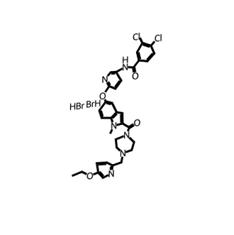 Br.Br.CCOc1ccc(CN2CCN(C(=O)c3cc4cc(Oc5ccc(NC(=O)c6ccc(Cl)c(Cl)c6)cn5)ccc4n3C)CC2)nc1